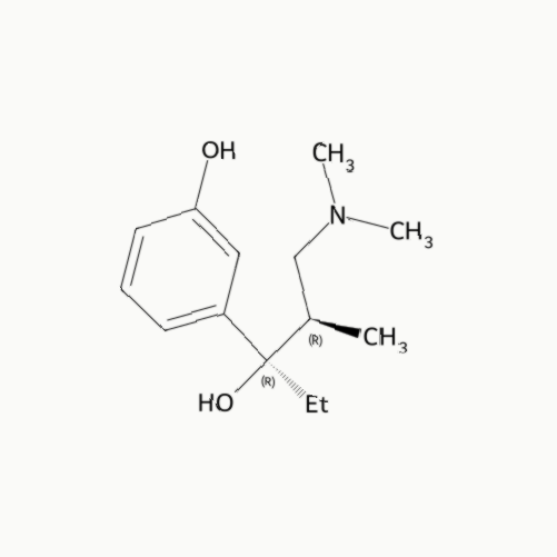 CC[C@](O)(c1cccc(O)c1)[C@H](C)CN(C)C